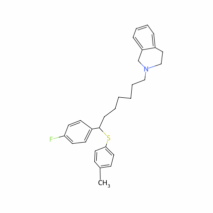 Cc1ccc(SC(CCCCCCN2CCc3ccccc3C2)c2ccc(F)cc2)cc1